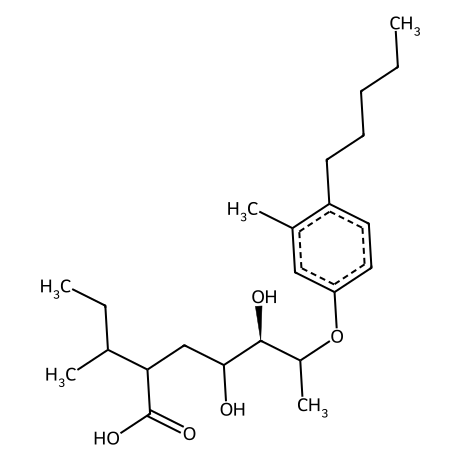 CCCCCc1ccc(OC(C)[C@H](O)C(O)CC(C(=O)O)C(C)CC)cc1C